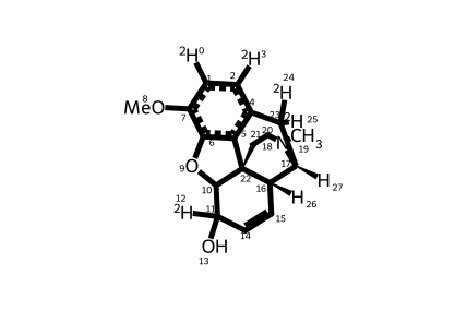 [2H]c1c([2H])c2c3c(c1OC)OC1C([2H])(O)C=C[C@H]4[C@H](N(C)CC[C@]314)C2([2H])[2H]